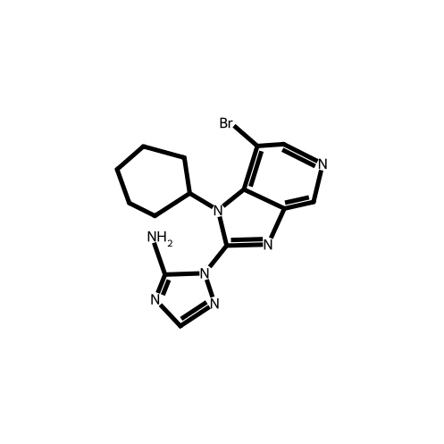 Nc1ncnn1-c1nc2cncc(Br)c2n1C1CCCCC1